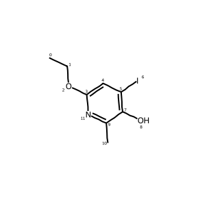 CCOc1cc(I)c(O)c(C)n1